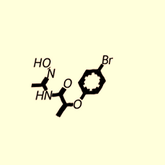 C=C(Oc1ccc(Br)cc1)C(=O)NC(C)=NO